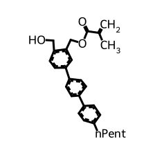 C=C(C)C(=O)OCc1cc(-c2ccc(-c3ccc(CCCCC)cc3)cc2)ccc1CO